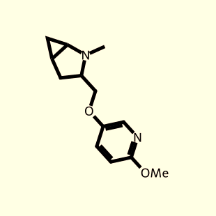 COc1ccc(OCC2CC3CC3N2C)cn1